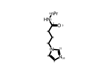 CCCNC(=O)CCCn1c[c]nc1